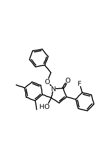 Cc1ccc(C2(O)C=C(c3ccccc3F)C(=O)N2OCc2ccccc2)c(C)c1